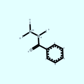 O=C(c1ccccc1)N(I)N(I)I